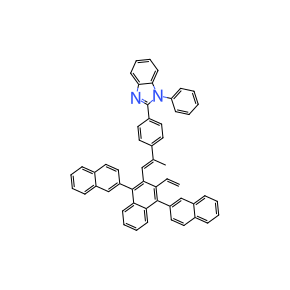 C=Cc1c(/C=C(\C)c2ccc(-c3nc4ccccc4n3-c3ccccc3)cc2)c(-c2ccc3ccccc3c2)c2ccccc2c1-c1ccc2ccccc2c1